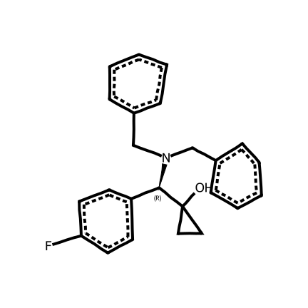 OC1([C@@H](c2ccc(F)cc2)N(Cc2ccccc2)Cc2ccccc2)CC1